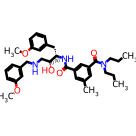 CCCN(CCC)C(=O)c1cc(C)cc(C(=O)N[C@@H](Cc2cccc(OC)c2)[C@H](O)CNCc2cccc(OC)c2)c1